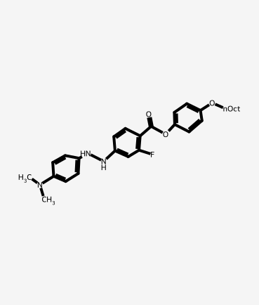 CCCCCCCCOc1ccc(OC(=O)c2ccc(NNc3ccc(N(C)C)cc3)cc2F)cc1